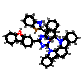 c1ccc(-c2nc(-c3ccc4c(c3)oc3ccccc34)nc(-n3c4ccccc4c4ccc5c6ccccc6n(-c6ccc(-c7nc8ccccc8s7)cc6)c5c43)n2)cc1